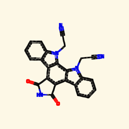 N#CCn1c2ccccc2c2c3c(c4c5ccccc5n(CC#N)c4c21)C(=O)NC3=O